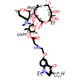 CC[C@@H]1OC(=O)[C@H](C)[C@H](O[C@@H]2C[C@](C)(OC)[C@H](OC(=O)CCNCCOc3ccc4c(c3)c(=O)c(C(=O)O)cn4CC)[C@H](C)O2)[C@@H](C)[C@H](O[C@@H]2O[C@H](C)C[C@H](N(C)C)[C@@H]2O)[C@](C)(OC)C[C@H](C)C(=O)[C@H](C)[C@@H](O)[C@]1(C)O